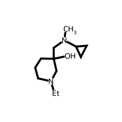 CCN1CCCC(O)(CN(C)C2CC2)C1